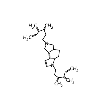 C=CC(=C)C(=C)CCN1CC2=C3C=CN(CCC(=C)C(=C)C=C)C3CCC2C1